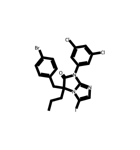 CCCC1(Cc2ccc(Br)cc2)C(=O)N(c2cc(Cl)cc(Cl)c2)c2ncc(I)n21